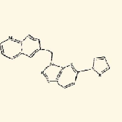 c1cnc2ccc(Cn3nnc4ccc(-n5cccn5)nc43)cc2c1